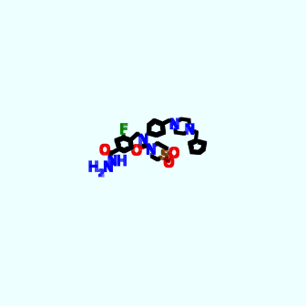 NNC(=O)c1ccc(CN(C(=O)N2CCS(=O)(=O)CC2)c2ccc(CN3CCN(Cc4ccccc4)CC3)cc2)c(F)c1